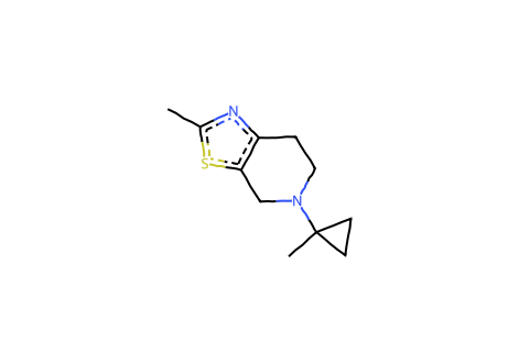 Cc1nc2c(s1)CN(C1(C)CC1)CC2